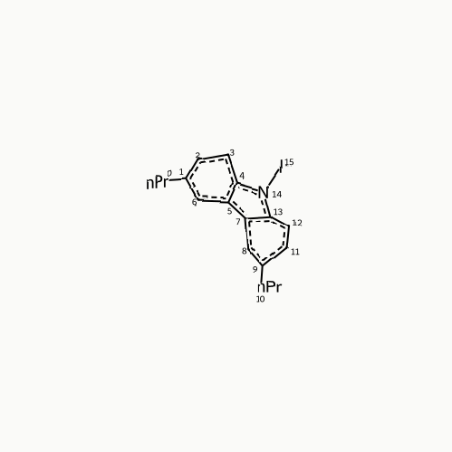 CCCc1ccc2c(c1)c1cc(CCC)ccc1n2I